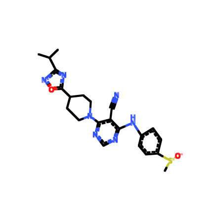 CC(C)c1noc(C2CCN(c3ncnc(Nc4ccc([S+](C)[O-])cc4)c3C#N)CC2)n1